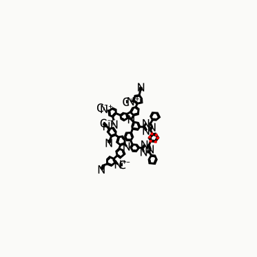 [C-]#[N+]c1ccc(-c2ccc3c(c2)c2cc(-c4ccc(C#N)cc4[N+]#[C-])ccc2n3-c2cc(-c3cccc(-c4cc(-c5nc(-c6ccccc6)nc(-c6ccccc6)n5)ccc4-n4c5ccc(-c6ccc([N+]#[C-])cc6C#N)cc5c5cc(-c6ccc(C#N)cc6[N+]#[C-])ccc54)c3)cc(-c3nc(-c4ccccc4)nc(-c4ccccc4)n3)c2)c(C#N)c1